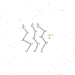 [CH2-]CCCC.[CH2-]CCCC.[CH2-]CCCC.[P+3]